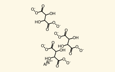 O=C(O[O-])C(O)C(O)C(=O)O[O-].O=C(O[O-])C(O)C(O)C(=O)O[O-].O=C(O[O-])C(O)C(O)C(=O)O[O-].[Al+3].[Al+3]